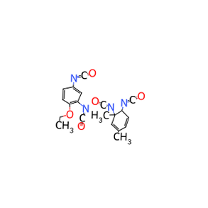 CC1=CC(C)(N=C=O)C(N=C=O)C=C1.CCOc1ccc(N=C=O)cc1N=C=O